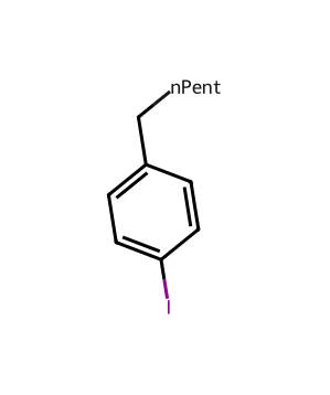 CCCCCCc1ccc(I)cc1